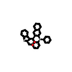 c1ccc(N(c2ccccc2)c2cc3ccccc3cc2-c2cccc3sc4ccccc4c23)cc1